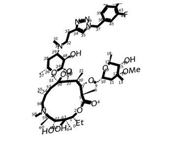 CC[C@H]1OC(=O)[C@H](C)[C@@H](OC[C@H]2C[C@@](C)(OC)[C@@H](O)[C@H](C)O2)[C@H](C)[C@@H](O[C@@H]2O[C@H](C)C[C@H](N(C)CCc3cn(Cc4ccc(F)c(F)c4)nn3)[C@H]2O)[C@](C)(O)C[C@@H](C)CN(C)[C@H](C)[C@@H](O)[C@]1(C)O